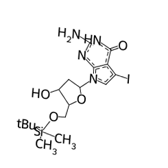 CC(C)(C)[Si](C)(C)OCC1OC(n2cc(I)c3c(=O)[nH]c(N)nc32)CC1O